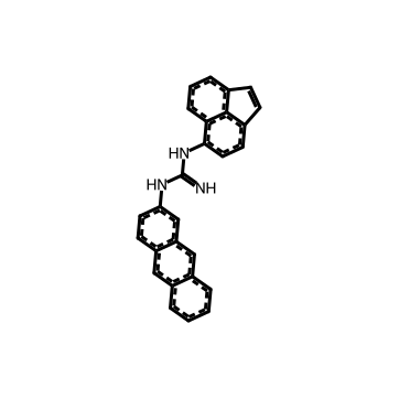 N=C(Nc1ccc2cc3ccccc3cc2c1)Nc1ccc2c3c(cccc13)C=C2